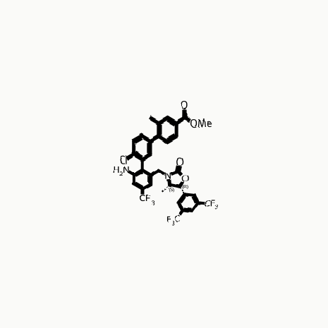 COC(=O)c1ccc(-c2ccc(Cl)c(-c3c(N)cc(C(F)(F)F)cc3CN3C(=O)O[C@H](c4cc(C(F)(F)F)cc(C(F)(F)F)c4)[C@@H]3C)c2)c(C)c1